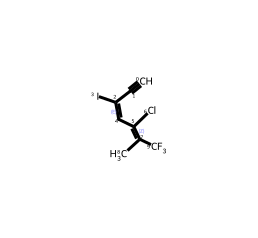 C#C/C(I)=C\C(Cl)=C(/C)C(F)(F)F